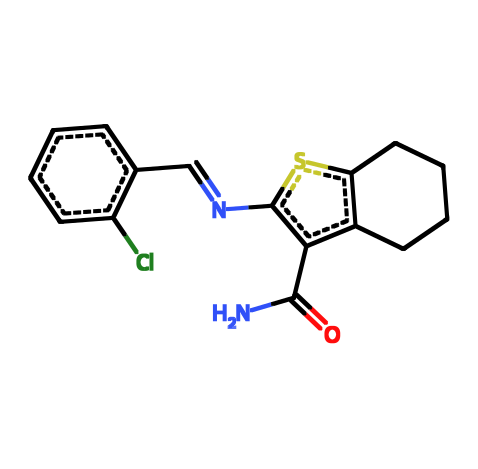 NC(=O)c1c(N=Cc2ccccc2Cl)sc2c1CCCC2